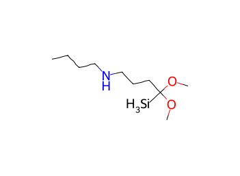 CCCCNCCCC([SiH3])(OC)OC